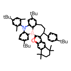 Cc1cc(C(C)(C)C)cc(C)c1N1c2ccc(C(C)(C)C)cc2B2c3oc4cc5c(cc4c3C(c3ccc(C(C)(C)C)cc3)CCc3cc(C(C)(C)C)cc1c32)C(C)(C)CCC5(C)C